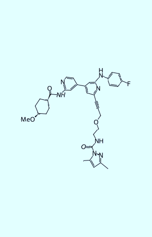 CO[C@H]1CC[C@@H](C(=O)Nc2cc(-c3cc(C#CCOCCNC(=O)n4nc(C)cc4C)nc(Nc4ccc(F)cc4)c3)ccn2)CC1